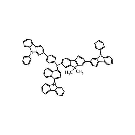 CC1(C)c2cc(-c3ccc4c5ccccc5n(-c5ccccc5)c4c3)ccc2-c2ccc(N(c3ccc(-c4ccc5c6ccccc6n(-c6ccccc6)c5c4)cc3)c3ccc(-n4c5ccccc5c5ccccc54)c4ccccc34)cc21